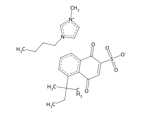 CCC(C)(C)c1cccc2c1C(=O)C=C(S(=O)(=O)[O-])C2=O.CCCCn1cc[n+](C)c1